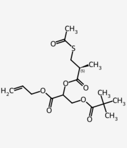 C=CCOC(=O)C(COC(=O)C(C)(C)C)OC(=O)[C@H](C)CSC(C)=O